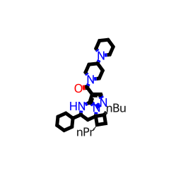 CCCCC1C[C@H](CCC)C12CC(C1CCCCC1)Nc1c(C(=O)N3CCC(N4CCCCC4)CC3)cnn12